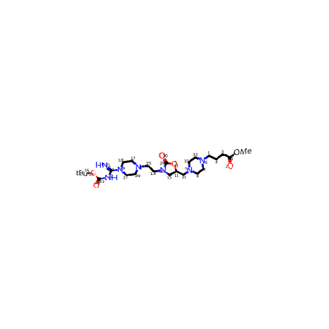 COC(=O)CCCN1CCN(CC2CN(CCN3CCN(C(=N)NC(=O)OC(C)(C)C)CC3)C(=O)O2)CC1